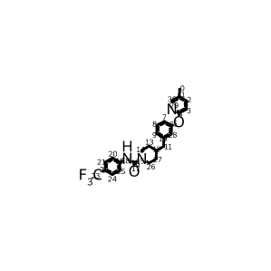 Cc1ccc(Oc2cccc(CC3CCN(C(=O)Nc4ccc(C(F)(F)F)cc4)CC3)c2)nc1